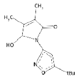 CC1=C(C)C(O)N(c2cc(C(C)(C)C)on2)C1=O